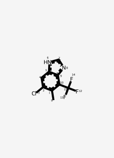 Cc1c(Cl)cc2[nH][c]nc2c1C(F)(F)F